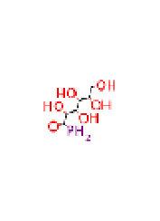 O=C(P)[C@@H](O)[C@@H](O)[C@H](O)[C@H](O)CO